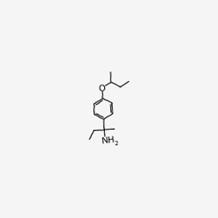 CCC(C)Oc1ccc(C(C)(N)CC)cc1